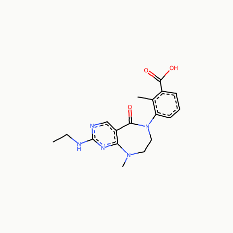 CCNc1ncc2c(n1)N(C)CCN(c1cccc(C(=O)O)c1C)C2=O